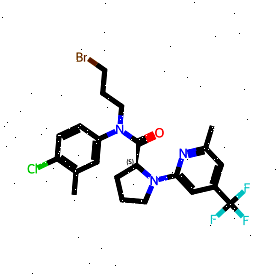 Cc1cc(C(F)(F)F)cc(N2CCC[C@H]2C(=O)N(CCCBr)c2ccc(Cl)c(C)c2)n1